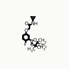 CC1(C)OB(c2cc(OCC(=O)NC3CC3)ccc2F)OC1(C)C